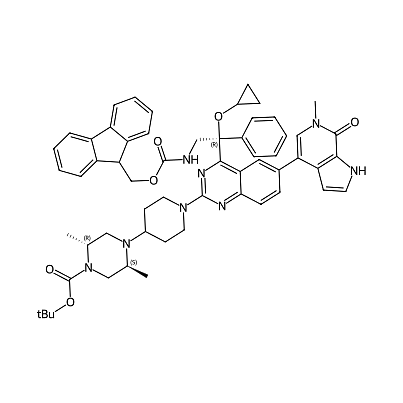 C[C@@H]1CN(C2CCN(c3nc([C@@](CNC(=O)OCC4c5ccccc5-c5ccccc54)(OC4CC4)c4ccccc4)c4cc(-c5cn(C)c(=O)c6[nH]ccc56)ccc4n3)CC2)[C@@H](C)CN1C(=O)OC(C)(C)C